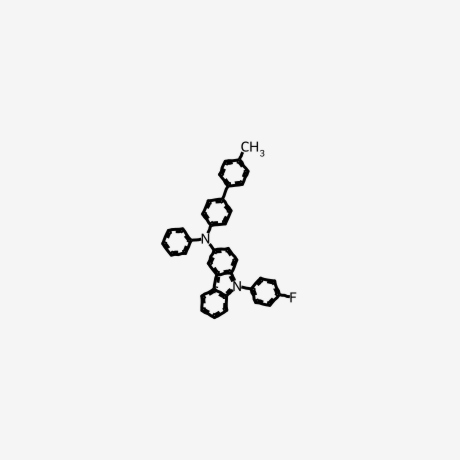 Cc1ccc(-c2ccc(N(c3ccccc3)c3ccc4c(c3)c3ccccc3n4-c3ccc(F)cc3)cc2)cc1